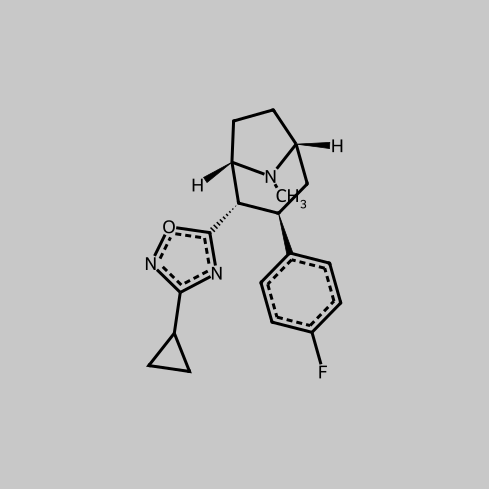 CN1[C@@H]2CC[C@H]1[C@@H](c1nc(C3CC3)no1)[C@H](c1ccc(F)cc1)C2